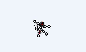 N#Cc1c(-n2c3ccccc3c3cc(-c4ccccc4)ccc32)c(-n2c3ccccc3c3cc(-c4ccccc4)ccc32)cc(-n2c3ccccc3c3cc(-c4ccccc4)ccc32)c1-n1c2ccccc2c2cc(-c3ccccc3)ccc21